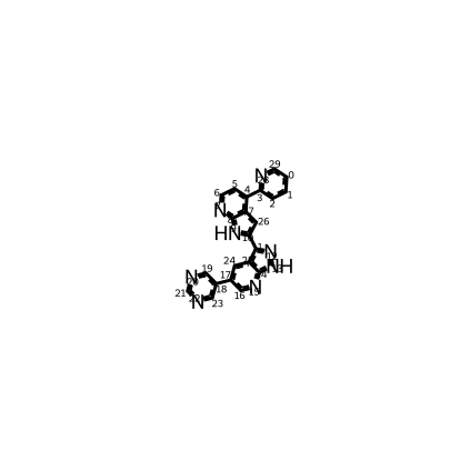 c1ccc(-c2ccnc3[nH]c(-c4n[nH]c5ncc(-c6cncnc6)cc45)cc23)nc1